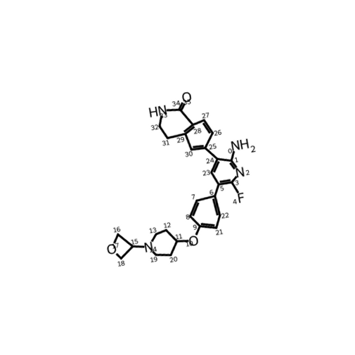 Nc1nc(F)c(-c2ccc(OC3CCN(C4COC4)CC3)cc2)cc1-c1ccc2c(c1)CCNC2=O